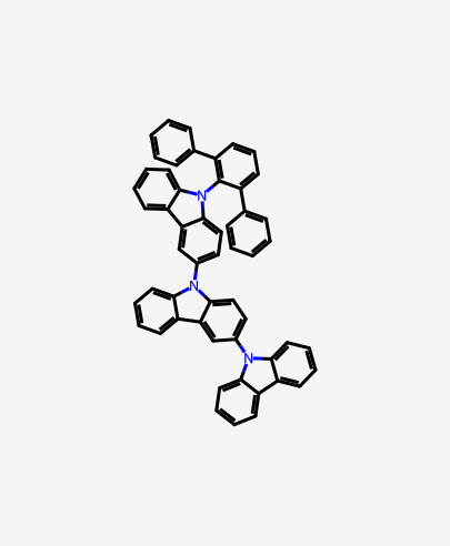 c1ccc(-c2cccc(-c3ccccc3)c2-n2c3ccccc3c3cc(-n4c5ccccc5c5cc(-n6c7ccccc7c7ccccc76)ccc54)ccc32)cc1